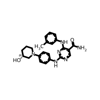 Cc1cccc(Nc2nc(Nc3ccc(N4CCC[C@@H](O)C4)cc3)ncc2C(N)=O)c1